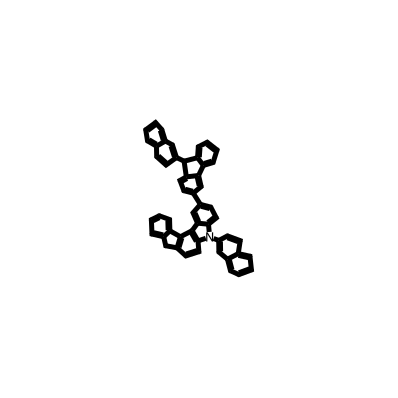 c1ccc2c(c1)Cc1ccc3c(c1-2)c1cc(-c2ccc4c(c2)-c2ccccc2C4c2ccc4ccccc4c2)ccc1n3-c1ccc2ccccc2c1